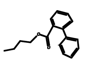 CCCCOC(=O)c1ccccc1-c1[c]cccc1